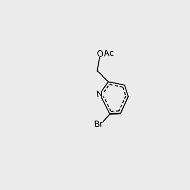 CC(=O)OCc1cccc(Br)n1